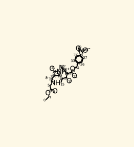 CCOC(=O)CN[C@H](C)[C@H]1C(=O)N[C@@H]1C(C)C(=O)C(=[N+]=[N-])C(=O)OCc1ccc([N+](=O)[O-])cc1